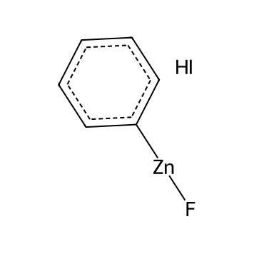 I.[F][Zn][c]1ccccc1